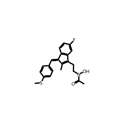 CSc1ccc(C=C2C(C)=C(CCN(O)C(C)=O)c3cc(F)ccc32)cc1